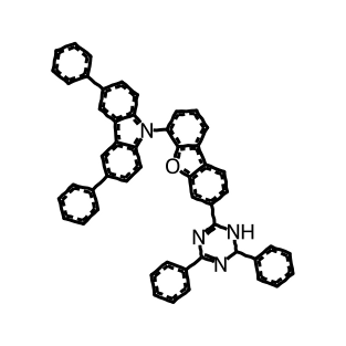 c1ccc(C2=NC(c3ccccc3)NC(c3ccc4c(c3)oc3c(-n5c6ccc(-c7ccccc7)cc6c6cc(-c7ccccc7)ccc65)cccc34)=N2)cc1